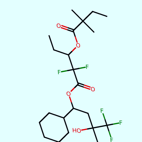 CCC(OC(=O)C(C)(C)CC)C(F)(F)C(=O)OC(CC(C)(O)C(F)(F)F)C1CCCCC1